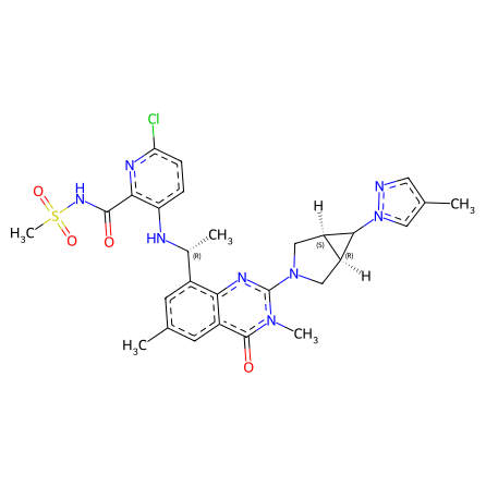 Cc1cc([C@@H](C)Nc2ccc(Cl)nc2C(=O)NS(C)(=O)=O)c2nc(N3C[C@@H]4C(n5cc(C)cn5)[C@@H]4C3)n(C)c(=O)c2c1